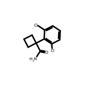 NC(=O)C1(c2c(Cl)cccc2Cl)CCC1